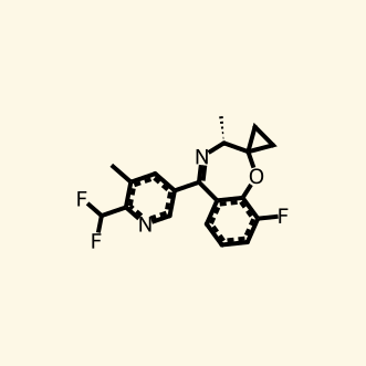 Cc1cc(C2=N[C@H](C)C3(CC3)Oc3c(F)cccc32)cnc1C(F)F